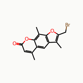 Cc1cc(=O)oc2c(C)c3oc(CBr)c(C)c3cc12